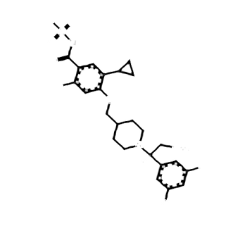 CCS(=O)(=O)NC(=O)c1cc(C2CC2)c(OCC2CCN([C@@](C)(COC)c3cc(Cl)cc(Cl)c3)CC2)cc1F